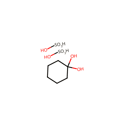 O=S(=O)(O)O.O=S(=O)(O)O.OC1(O)CCCCC1